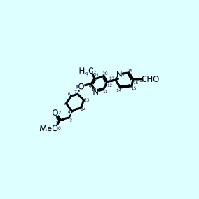 COC(=O)C[C@H]1CC[C@H](Oc2ncc(-c3ccc(C=O)cn3)cc2C)CC1